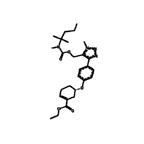 CCCC(C)(C)N(C)C(=O)OCc1c(-c2ccc(O[C@H]3CCC=C(C(=O)OCC)C3)cc2)nnn1C